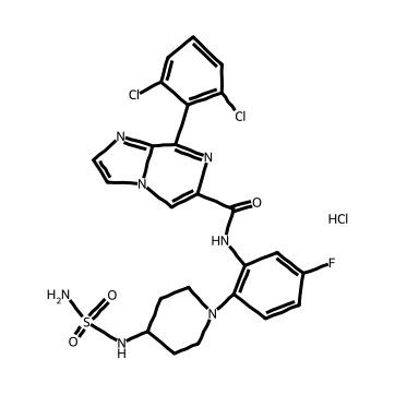 Cl.NS(=O)(=O)NC1CCN(c2ccc(F)cc2NC(=O)c2cn3ccnc3c(-c3c(Cl)cccc3Cl)n2)CC1